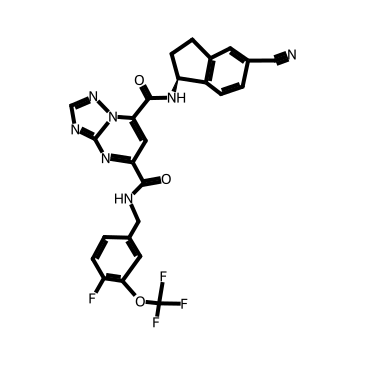 N#Cc1ccc2c(c1)CC[C@@H]2NC(=O)c1cc(C(=O)NCc2ccc(F)c(OC(F)(F)F)c2)nc2ncnn12